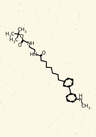 CNc1[c]ccc(-c2cccc(CCCCCCCC(=O)NCCNC(=O)OC(C)(C)C)c2)c1